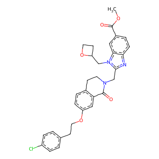 COC(=O)c1ccc2nc(CN3CCc4ccc(OCCc5ccc(Cl)cc5)cc4C3=O)n(CC3CCO3)c2c1